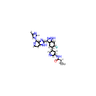 Cc1cn(-c2nccc3[nH]c(-c4n[nH]c5cc(F)c(-c6cncc(NC(=O)CC(C)(C)C)c6)cc45)nc23)cn1